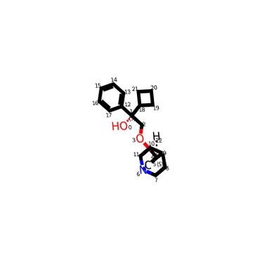 O[C@](CO[C@@H]1CN2CCC1CC2)(c1ccccc1)C1CCC1